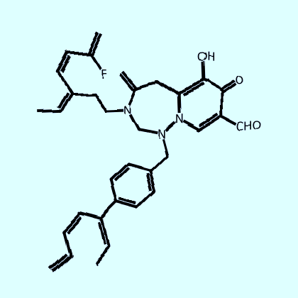 C=C/C=C\C(=C/C)c1ccc(CN2CN(CCC(/C=C\C(=C)F)=C/C)C(=C)Cc3c(O)c(=O)c(C=O)cn32)cc1